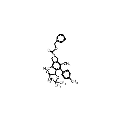 Cc1ccc(-c2c(C)c3c(c(C)c2C(OC(C)(C)C)C(=O)O)CN(C(=O)OCc2ccccc2)C3)cc1